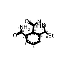 CCC(Br)c1cccc(C(N)=O)c1C(N)=O